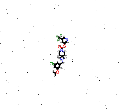 CC(C)Oc1cc(Cl)cc(CN2CC3(CCN(C(=O)Oc4cncc(C(F)(F)F)c4)CC3)C2)c1